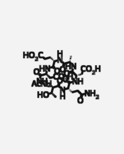 CC(=O)N[C@H](C(=O)N[C@@H](CCC(N)=O)C(=O)N[C@@H](CC(=O)O)C(=O)N[C@@H](C)C(=O)N[C@@H](CCC(=O)O)C(=O)N[C@@H](CC(=O)O)C(N)=O)[C@@H](C)O